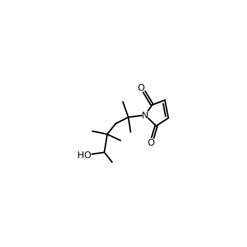 CC(O)C(C)(C)CC(C)(C)N1C(=O)C=CC1=O